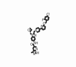 Cc1n[nH]c2ncc(C(=O)Nc3ccc4c(c3)nc(CN3CC=C(c5cccc(OCc6ccc(Cl)cc6F)n5)CC3)n4C[C@@H]3CCO3)cc12